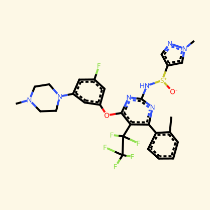 Cc1ccccc1-c1nc(N[S+]([O-])c2cnn(C)c2)nc(Oc2cc(F)cc(N3CCN(C)CC3)c2)c1C(F)(F)C(F)(F)F